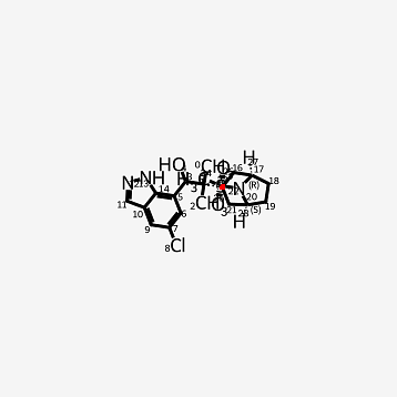 CC(C)(C(O)c1cc(Cl)cc2cn[nH]c12)[C@@H]1C[C@H]2CC[C@@H](C1)N2S(C)(=O)=O